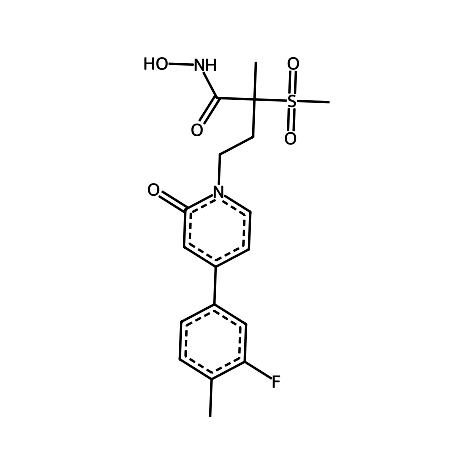 Cc1ccc(-c2ccn(CCC(C)(C(=O)NO)S(C)(=O)=O)c(=O)c2)cc1F